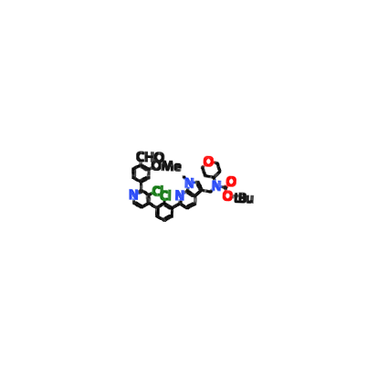 COc1cc(-c2nccc(-c3cccc(-c4ccc5c(CN(C(=O)OC(C)(C)C)C6CCOCC6)cn(C)c5n4)c3Cl)c2Cl)ccc1C=O